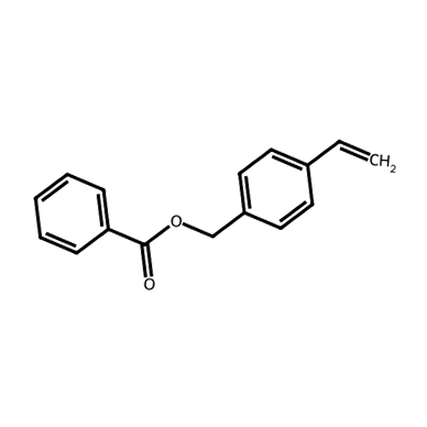 C=Cc1ccc(COC(=O)c2ccccc2)cc1